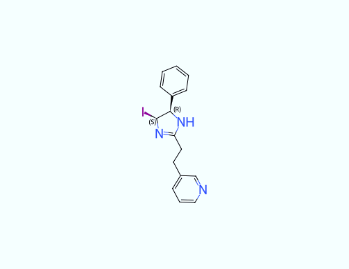 I[C@@H]1N=C(CCc2cccnc2)N[C@@H]1c1ccccc1